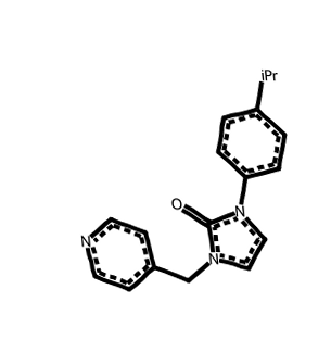 CC(C)c1ccc(-n2ccn(Cc3ccncc3)c2=O)cc1